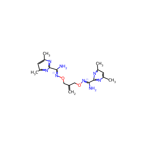 C=C(CO/N=C(\N)c1nc(C)cc(C)n1)CO/N=C(\N)c1nc(C)cc(C)n1